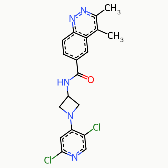 Cc1nnc2ccc(C(=O)NC3CN(c4cc(Cl)ncc4Cl)C3)cc2c1C